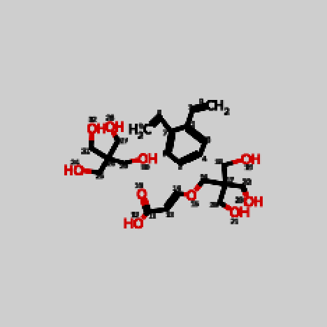 C=Cc1ccccc1C=C.O=C(O)C=COCC(CO)(CO)CO.OCC(CO)(CO)CO